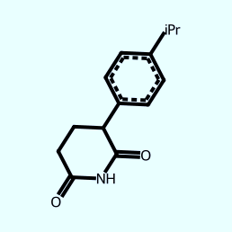 CC(C)c1ccc(C2CCC(=O)NC2=O)cc1